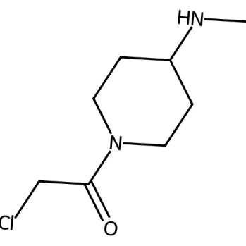 CNC1CCN(C(=O)CCl)CC1